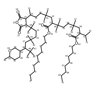 CCCCCCCCCCOC(=O)C(CC(C)(C)CCC(C)C1C(=O)OC(=O)C1C(C)(C)CCC(C)(C)CC(C1CCC(C)OC1)C(C)(C)C)C(C)(C)CCC(C)(C)CC(C(=O)OCCCCCCCC)C(C)C